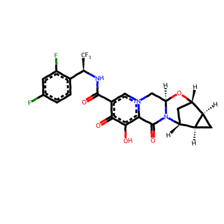 O=C(N[C@@H](c1ccc(F)cc1F)C(F)(F)F)c1cn2c(c(O)c1=O)C(=O)N1[C@@H]3C[C@H](O[C@@H]1C2)[C@H]1C[C@H]13